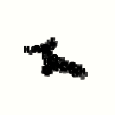 COCc1ccc(OC(F)(F)F)c(CNC(=O)Nc2c(C)c(C3CCN(C(=O)OC(C)(C)C)CC3)nn2-c2ccccc2)c1